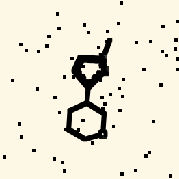 Cn1ccc(C2CCCOC2)n1